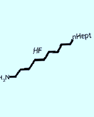 CCCCCCCCCCCCCCCCN.F